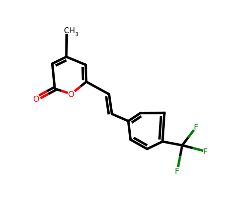 Cc1cc(C=Cc2ccc(C(F)(F)F)cc2)oc(=O)c1